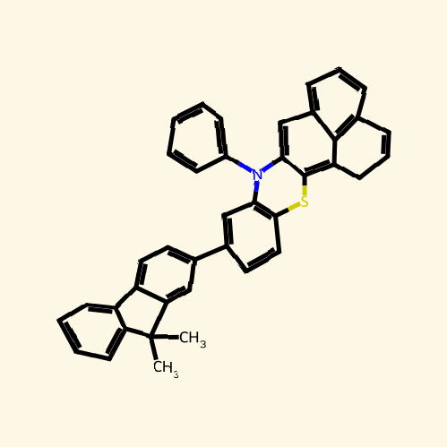 CC1(C)c2ccccc2-c2ccc(-c3ccc4c(c3)N(c3ccccc3)c3cc5cccc6c5c(c3S4)CC=C6)cc21